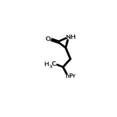 CCCC(C)CC1NC1=O